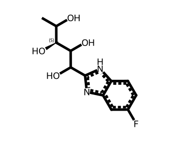 CC(O)[C@H](O)C(O)C(O)c1nc2cc(F)ccc2[nH]1